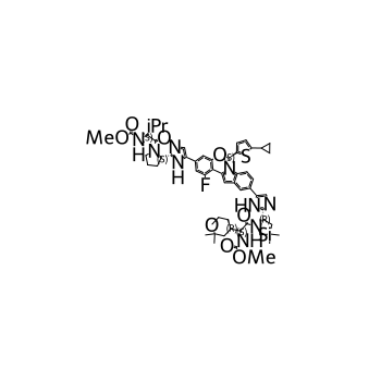 COC(=O)N[C@H](C(=O)N1CCC[C@H]1c1ncc(-c2cc(F)c3c(c2)O[C@@H](c2ccc(C4CC4)s2)n2c-3cc3cc(-c4cnc([C@@H]5C[Si](C)(C)CN5C(=O)[C@@H](NC(=O)OC)[C@@H]5CCOC(C)(C)C5)[nH]4)ccc32)[nH]1)C(C)C